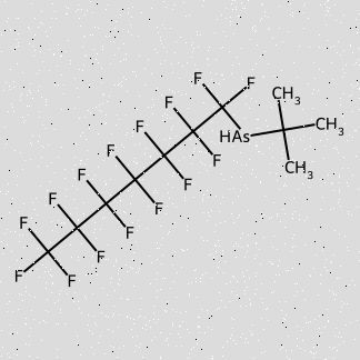 CC(C)(C)[AsH]C(F)(F)C(F)(F)C(F)(F)C(F)(F)C(F)(F)C(F)(F)C(F)(F)F